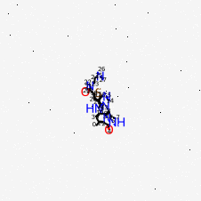 CC1=C2C(=O)NC3(C)C=C(C(Nc4ncnc5sc(C(=O)N(C)CCN(C)C)cc45)=C1)N23